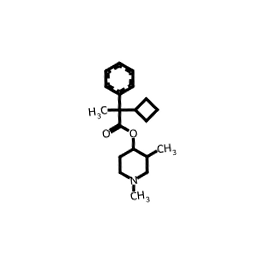 CC1CN(C)CCC1OC(=O)C(C)(c1ccccc1)C1CCC1